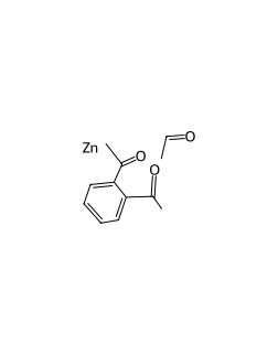 CC(=O)c1ccccc1C(C)=O.CC=O.[Zn]